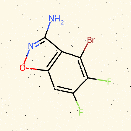 Nc1noc2cc(F)c(F)c(Br)c12